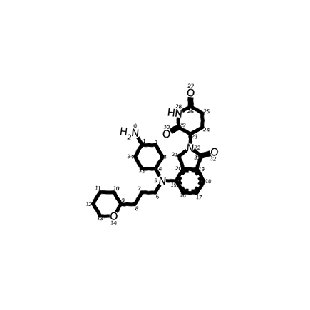 NC1CCC(N(CCCC2CCCCO2)c2cccc3c2CN(C2CCC(=O)NC2=O)C3=O)CC1